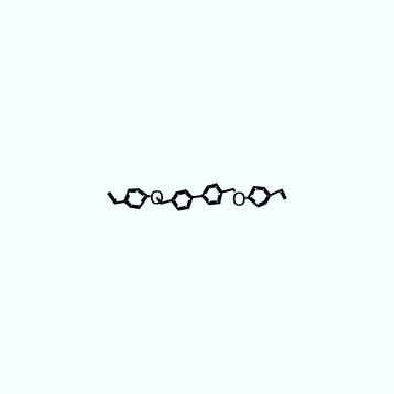 C=Cc1ccc(OCc2ccc(-c3ccc(COc4ccc(C=C)cc4)cc3)cc2)cc1